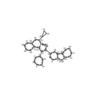 c1ccc(-c2c(-c3ccc4sc5ccccc5c4c3)nn3c(C4CC4)cc4ccccc4c23)cc1